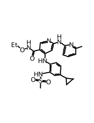 CCONC(=O)c1cnc(Nc2cccc(C)n2)cc1Nc1ccc(C2CC2)cc1NS(C)(=O)=O